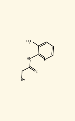 Cc1cccnc1NC(=O)CC(C)C